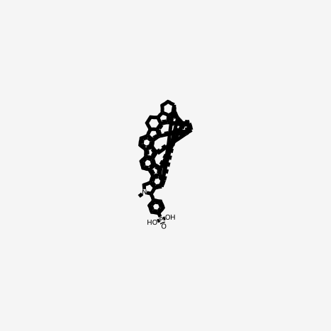 CN1Cc2c(c3c4c5c6c7c8c9c%10c%11c%12c(ccc%13c%14ccc%15c2c4c2c%15c%14c(c%13%12)c4c%11c8c5c24)C%10CCC9C7CCC36)C1c1ccc(P(=O)(O)O)cc1